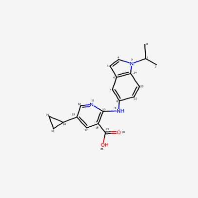 CC(C)n1ccc2cc(Nc3ncc(C4CC4)cc3C(=O)O)ccc21